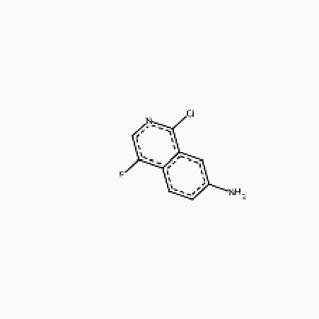 Nc1ccc2c(F)cnc(Cl)c2c1